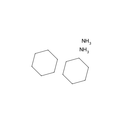 C1CCCCC1.C1CCCCC1.N.N